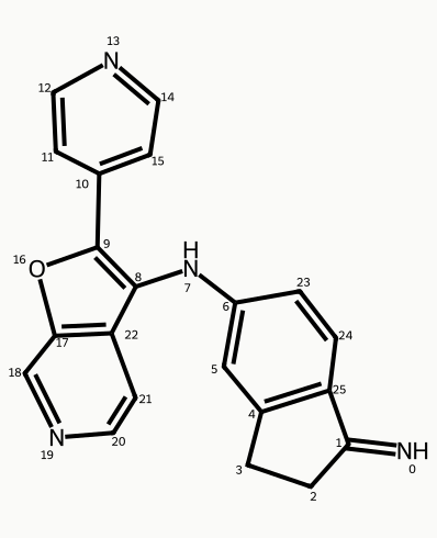 N=C1CCc2cc(Nc3c(-c4ccncc4)oc4cnccc34)ccc21